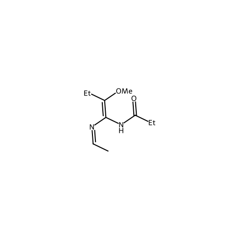 C/C=N\C(NC(=O)CC)=C(/CC)OC